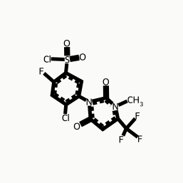 Cn1c(C(F)(F)F)cc(=O)n(-c2cc(S(=O)(=O)Cl)c(F)cc2Cl)c1=O